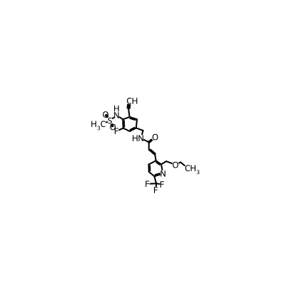 C#Cc1cc(CNC(=O)C=Cc2ccc(C(F)(F)F)nc2COCC)cc(F)c1NS(C)(=O)=O